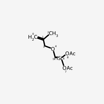 C=C(C)COC[SiH](OC(C)=O)OC(C)=O